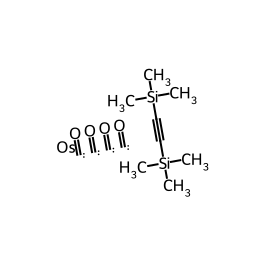 C[Si](C)(C)C#C[Si](C)(C)C.[C]=O.[C]=O.[C]=O.[C]=O.[Os]